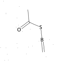 C=BSC(C)=O